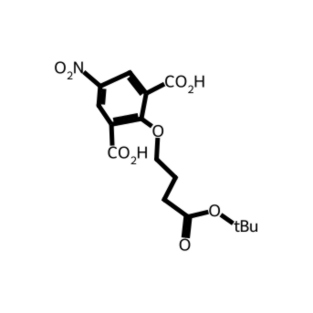 CC(C)(C)OC(=O)CCCOc1c(C(=O)O)cc([N+](=O)[O-])cc1C(=O)O